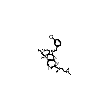 CN(C)CCN(C)c1ncc2c(n1)N=C(NCc1cccc(Cl)c1)C1(CCNCC1)N2